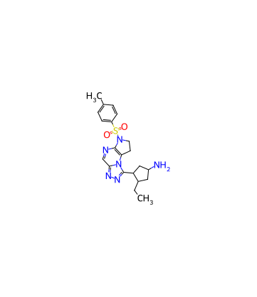 CCC1CC(N)CC1c1nnc2cnc3c(n12)CCN3S(=O)(=O)c1ccc(C)cc1